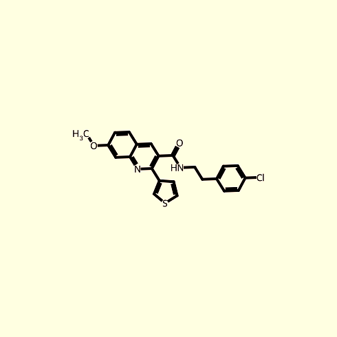 COc1ccc2cc(C(=O)NCCc3ccc(Cl)cc3)c(-c3ccsc3)nc2c1